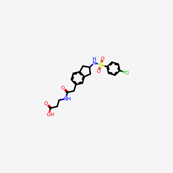 O=C(O)CCNC(=O)Cc1ccc2c(c1)CC(NS(=O)(=O)c1ccc(Cl)cc1)C2